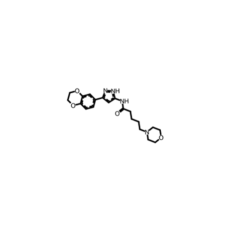 O=C(CCCCN1CCOCC1)Nc1cc(-c2ccc3c(c2)OCCO3)n[nH]1